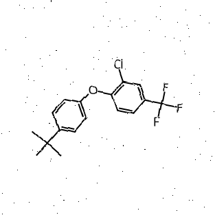 CC(C)(C)c1ccc(Oc2ccc(C(F)(F)F)cc2Cl)cc1